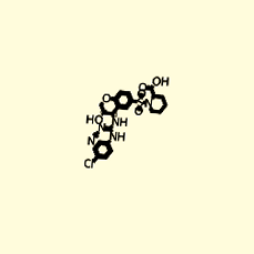 N#CN=C(Nc1ccc(Cl)cc1)N[C@@H]1c2cc(S(=O)(=O)N3CCCCC3C(=O)O)ccc2OC[C@H]1O